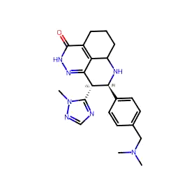 CN(C)Cc1ccc([C@@H]2NC3CCCc4c3c(n[nH]c4=O)[C@H]2c2ncnn2C)cc1